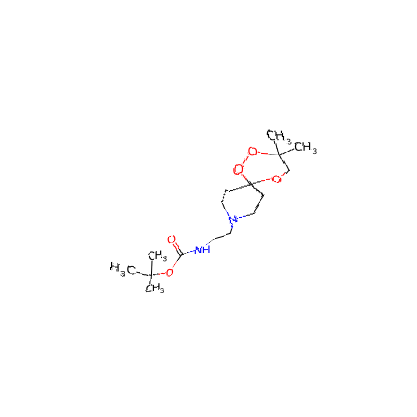 CC(C)(C)OC(=O)NCCN1CCC2(CC1)OCC(C)(C)OO2